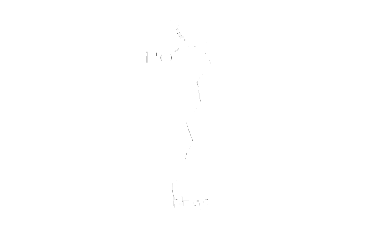 CCCCCCCCCCCCCCCC(F)S(=O)O